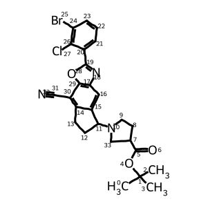 CC(C)(C)OC(=O)C1CCN(C2CCc3c2cc2nc(-c4cccc(Br)c4Cl)oc2c3C#N)C1